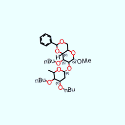 CCCCOC1C(C)O[C@H](OC2[C@@H](OC)OC3COC(c4ccccc4)O[C@H]3[C@@H]2OCCCC)C[C@H]1OCCCC